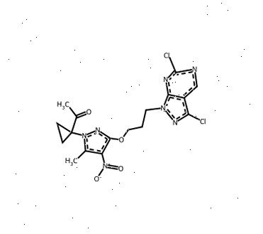 CC(=O)C1(n2nc(OCCCn3nc(Cl)c4cnc(Cl)nc43)c([N+](=O)[O-])c2C)CC1